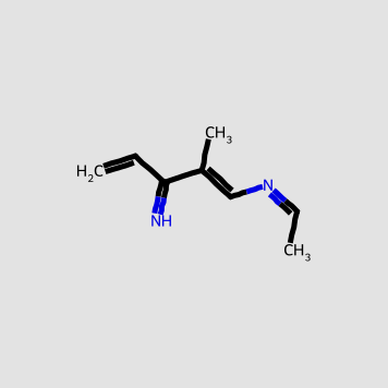 C=CC(=N)/C(C)=C/N=C\C